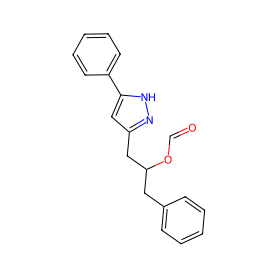 O=COC(Cc1ccccc1)Cc1cc(-c2ccccc2)[nH]n1